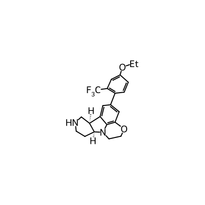 CCOc1ccc(-c2cc3c4c(c2)[C@@H]2CNCC[C@@H]2N4CCO3)c(C(F)(F)F)c1